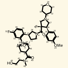 COC[C@H]1CN(C(=O)[C@]2(F)CN(C3CCOCC3)C[C@H]2c2ccc(OC)cc2)C[C@@H]1c1ccc(F)cc1N1CCC(C(=O)N(C)CCO)CC1